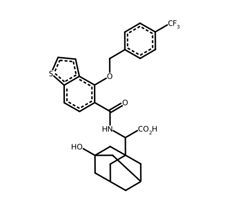 O=C(NC(C(=O)O)C12CC3CC(CC(O)(C3)C1)C2)c1ccc2sccc2c1OCc1ccc(C(F)(F)F)cc1